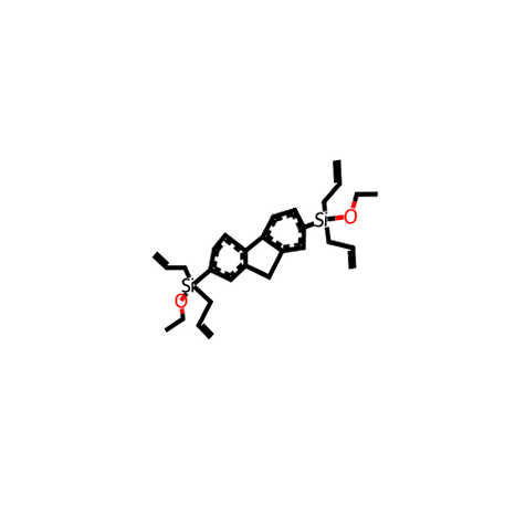 C=CC[Si](CC=C)(OCC)c1ccc2c(c1)Cc1cc([Si](CC=C)(CC=C)OCC)ccc1-2